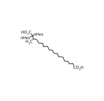 CCCCCCC(CCCCCC)(C(=O)O)C(C)CCCCCCCCCCCCCCCC(=O)O